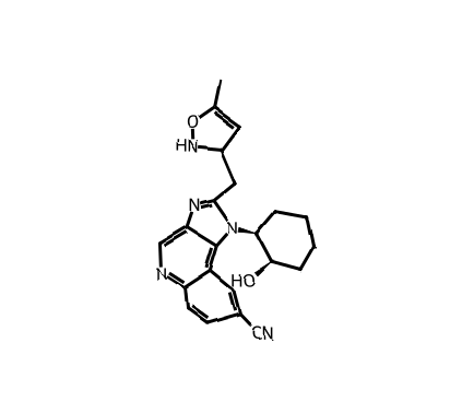 CC1=CC(Cc2nc3cnc4ccc(C#N)cc4c3n2[C@H]2CCCC[C@H]2O)NO1